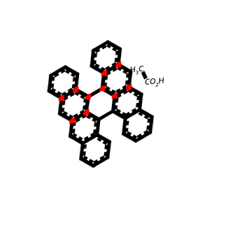 CC(=O)O.c1ccc(P(c2ccccc2)c2ccc3ccccc3c2-c2c(P(c3ccccc3)c3ccccc3)ccc3ccccc23)cc1